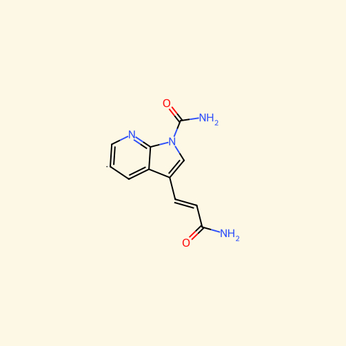 NC(=O)C=Cc1cn(C(N)=O)c2nc[c]cc12